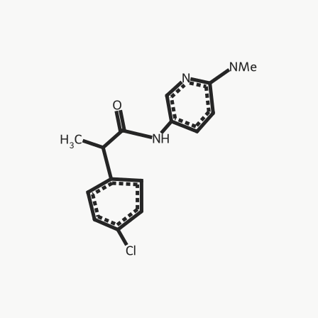 CNc1ccc(NC(=O)C(C)c2ccc(Cl)cc2)cn1